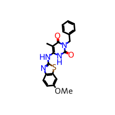 COc1ccc2nc(Nc3[nH]c(=O)n(Cc4ccccc4)c(=O)c3C)sc2c1